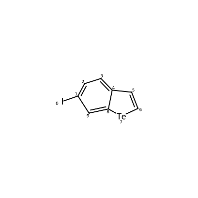 Ic1ccc2cc[te]c2c1